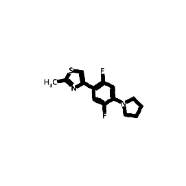 Cc1nc(-c2cc(F)c(N3CCCC3)cc2F)cs1